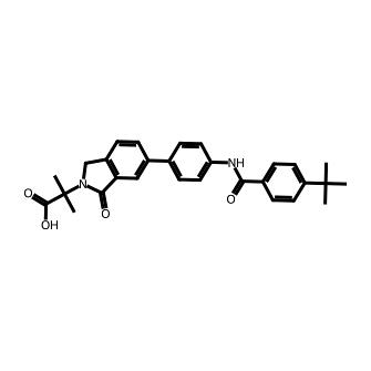 CC(C)(C)c1ccc(C(=O)Nc2ccc(-c3ccc4c(c3)C(=O)N(C(C)(C)C(=O)O)C4)cc2)cc1